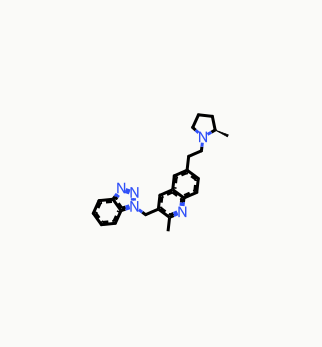 Cc1nc2ccc(CCN3CCC[C@H]3C)cc2cc1Cn1nnc2ccccc21